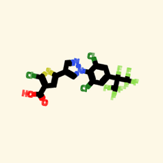 O=C(O)c1cc(-c2cnn(-c3c(Cl)cc(C(F)(C(F)(F)F)C(F)(F)F)cc3Cl)c2)sc1Cl